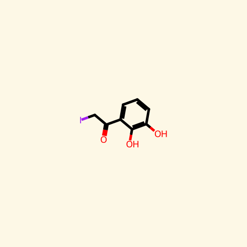 O=C(CI)c1cccc(O)c1O